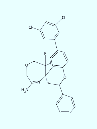 NC1=N[C@@]2(CC(c3ccccc3)Oc3ccc(-c4cc(Cl)cc(Cl)c4)cc32)C(F)(F)COC1